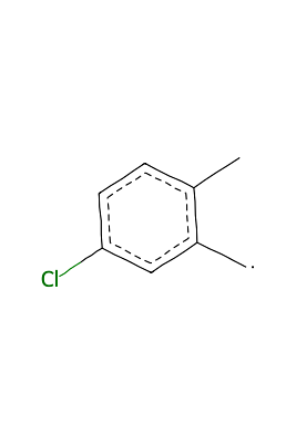 [CH2]c1cc(Cl)ccc1C